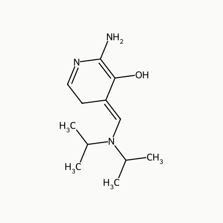 CC(C)N(C=C1CC=NC(N)=C1O)C(C)C